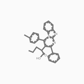 CCCC(C(=O)O)c1c(-c2ccccc2)nc2nc3ccccc3n2c1-c1ccc(C)cc1